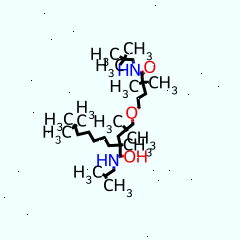 CC(C)CNC(O)C(C)(CCCCCC(C)(C)C)CC(C)(C)COCCCC(C)(C)C(=O)NCC(C)(C)C